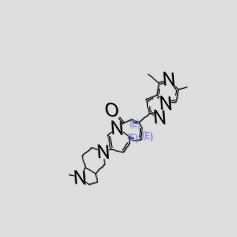 Cc1cn2nc(C3=C\C(=O)N4C=C(N5CCC6C(CCN6C)C5)C=C\C4=C/C=C/3)cc2c(C)n1